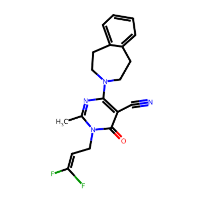 Cc1nc(N2CCc3ccccc3CC2)c(C#N)c(=O)n1CC=C(F)F